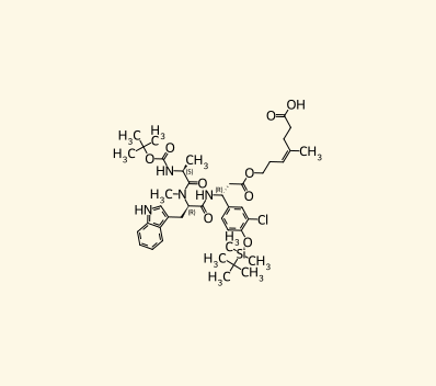 CC(=CCCOC(=O)C[C@@H](NC(=O)[C@@H](Cc1c[nH]c2ccccc12)N(C)C(=O)[C@H](C)NC(=O)OC(C)(C)C)c1ccc(O[Si](C)(C)C(C)(C)C)c(Cl)c1)CCC(=O)O